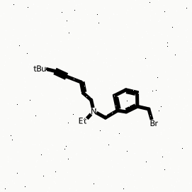 CCN(C/C=C/C#CC(C)(C)C)Cc1cccc(CBr)c1